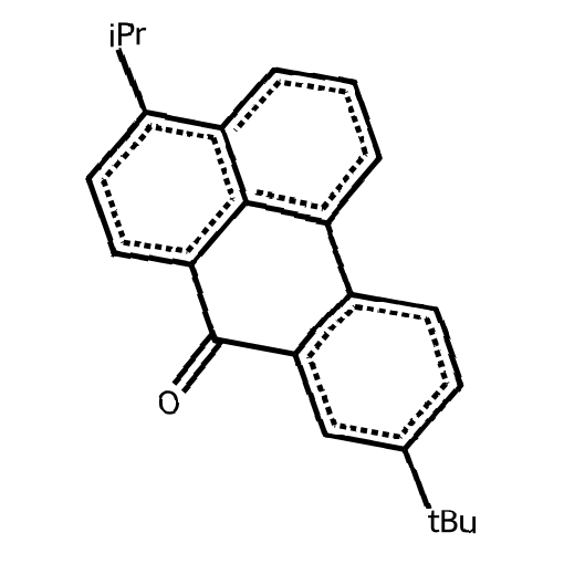 CC(C)c1ccc2c3c(cccc13)-c1ccc(C(C)(C)C)cc1C2=O